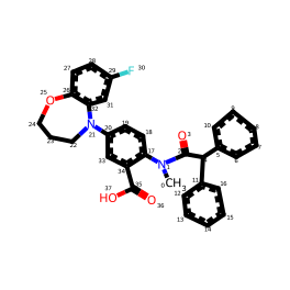 CN(C(=O)C(c1ccccc1)c1ccccc1)c1ccc(N2CCCOc3ccc(F)cc32)cc1C(=O)O